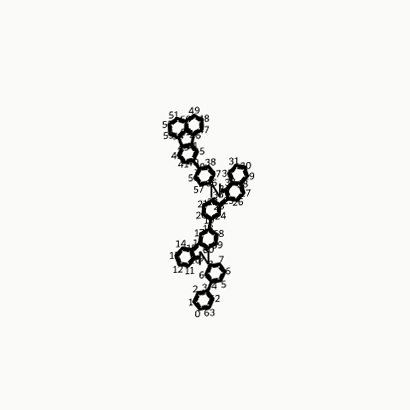 c1ccc(-c2cccc(-n3c4ccccc4c4cc(-c5ccc6c(c5)c5ccc7ccccc7c5n6-c5ccc(-c6ccc7c(c6)-c6cccc8cccc-7c68)cc5)ccc43)c2)cc1